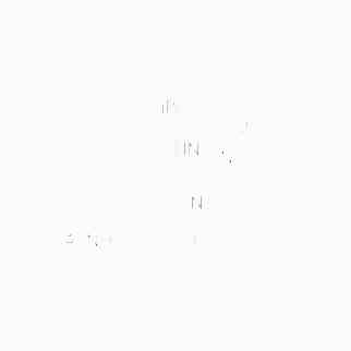 C#CCN1C(=O)C(CC(C)C)NC12CCN(C(=O)c1ccc(NC(C)=O)cc1)CC2